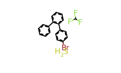 Brc1ccc(-c2ccccc2-c2ccccc2)cc1.FC(F)F.S